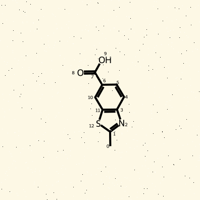 Cc1nc2ccc(C(=O)O)cc2s1